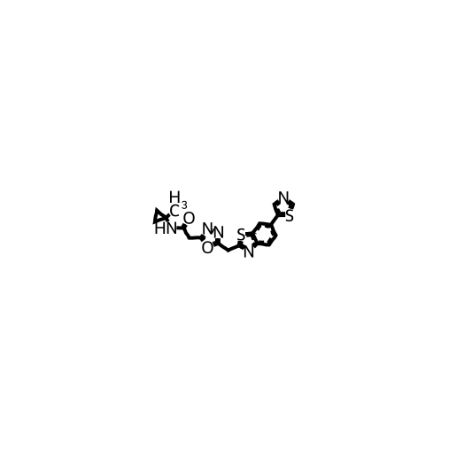 CC1(NC(=O)Cc2nnc(Cc3nc4ccc(-c5cncs5)cc4s3)o2)CC1